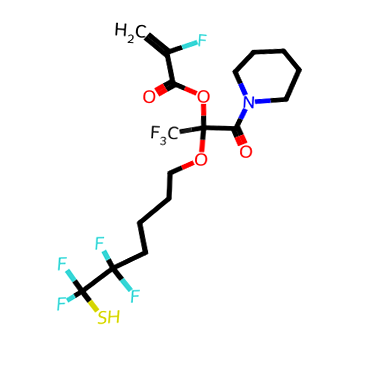 C=C(F)C(=O)OC(OCCCCC(F)(F)C(F)(F)S)(C(=O)N1CCCCC1)C(F)(F)F